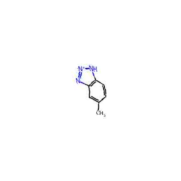 Cc1ccc2c(c1)N=[N+]N2